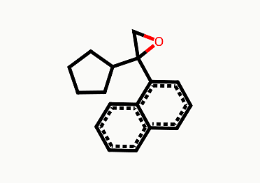 c1ccc2c(C3(C4CCCC4)CO3)cccc2c1